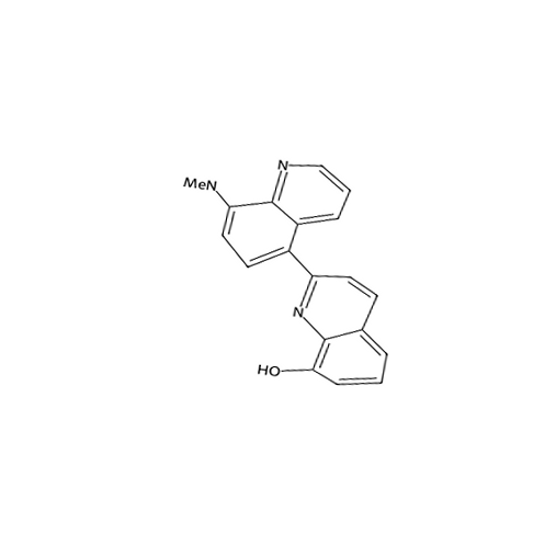 CNc1ccc(-c2ccc3cccc(O)c3n2)c2cccnc12